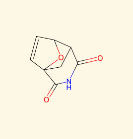 O=C1NC(=O)C23C=CC(O2)C1C3